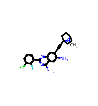 CN1C2CCC1(C#Cc1cc3nc(-c4cccc(Cl)c4F)nc(N)c3cc1N)CC2